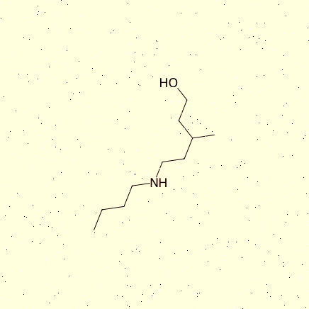 CCCCNCCC(C)CCO